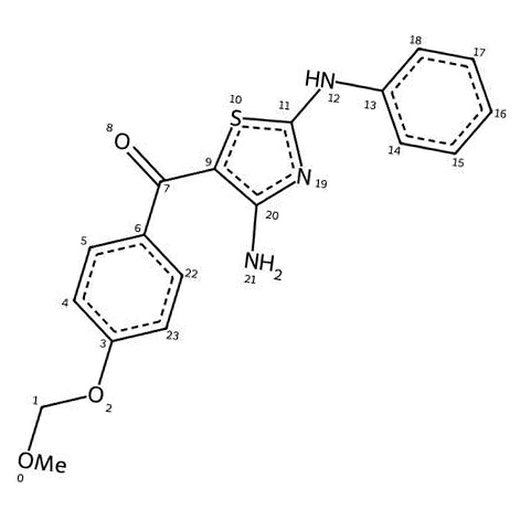 COCOc1ccc(C(=O)c2sc(Nc3ccccc3)nc2N)cc1